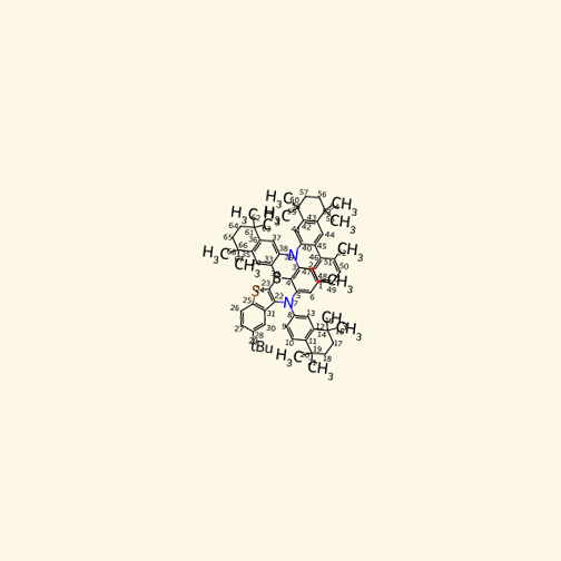 Cc1cc2c3c(c1)N(c1ccc4c(c1)C(C)(C)CCC4(C)C)c1c(sc4ccc(C(C)(C)C)cc14)B3c1cc3c(cc1N2c1cc2c(cc1-c1ccccc1C)C(C)(C)CCC2(C)C)C(C)(C)CCC3(C)C